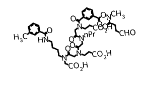 CCCN(CC(=O)N(CCC(=O)O)CC(=O)N(CCCCNC(=O)c1cccc(C)c1)CC(=O)O)C(=O)CN(CCC(=O)O)C(=O)c1cccc(C(=O)ON(C)C(=O)CCC=O)c1